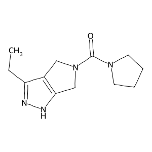 CCc1n[nH]c2c1CN(C(=O)N1CCCC1)C2